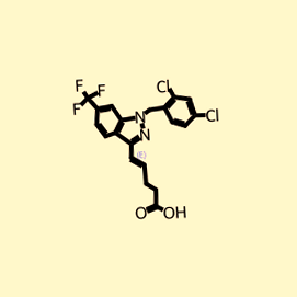 O=C(O)CC/C=C/c1nn(Cc2ccc(Cl)cc2Cl)c2cc(C(F)(F)F)ccc12